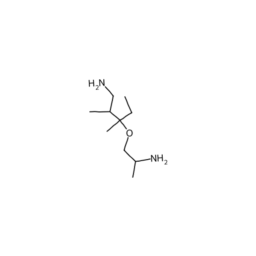 CCC(C)(OCC(C)N)C(C)CN